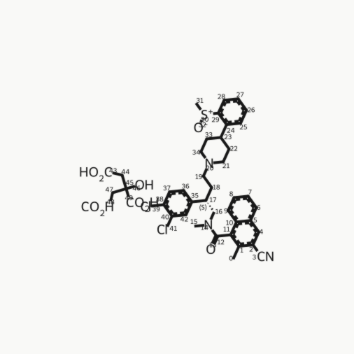 Cc1c(C#N)cc2ccccc2c1C(=O)N(C)C[C@@H](CCN1CCC(c2ccccc2[S+](C)[O-])CC1)c1ccc(Cl)c(Cl)c1.O=C(O)CC(O)(CC(=O)O)C(=O)O